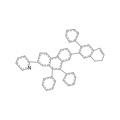 C1=Cc2cc(-c3ccccc3)c(-c3ccc4c(c3)c(-c3ccccc3)c(-c3ccccc3)c3cc(-c5ccccn5)ccc34)cc2CC1